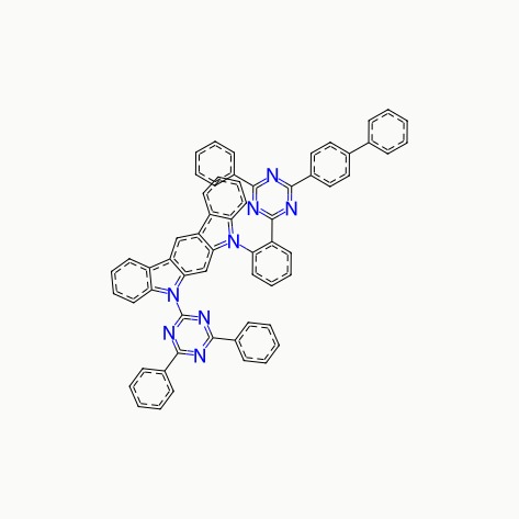 c1ccc(-c2ccc(-c3nc(-c4ccccc4)nc(-c4ccccc4-n4c5ccccc5c5cc6c7ccccc7n(-c7nc(-c8ccccc8)nc(-c8ccccc8)n7)c6cc54)n3)cc2)cc1